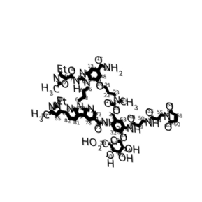 CCc1nc(C)oc1C(=O)Nc1nc2cc(C(N)=O)cc(OCCCN(C)C(=O)OCc3ccc(O[C@@H]4O[C@H](C(=O)O)[C@@H](O)[C@H](O)[C@H]4O)c(NC(=O)CCNC(=O)CCN4C(=O)C=CC4=O)c3)c2n1C/C=C/Cn1c2ncc(C(N)=O)cc2c2ccc(-c3cc(C)nn3CC)nc21